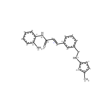 Cc1cnc(NCc2cccc(/C=C/C(=O)Nc3ccccc3N)c2)s1